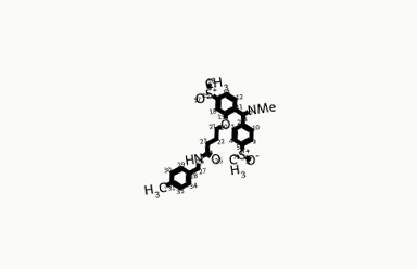 CNC(c1ccc([S+](C)[O-])cc1)c1ccc([S+](C)[O-])cc1OCCCC(=O)NCc1ccc(C)cc1